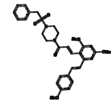 COc1ccc(/C=C/c2cc(OC)cc(OC)c2/C=C/C(=O)N2CCN(S(=O)(=O)Cc3ccccc3)CC2)cc1